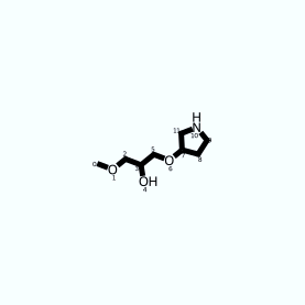 COCC(O)COC1CCNC1